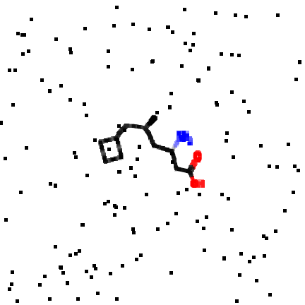 C[C@H](CC1CCC1)C[C@H](N)CC(=O)O